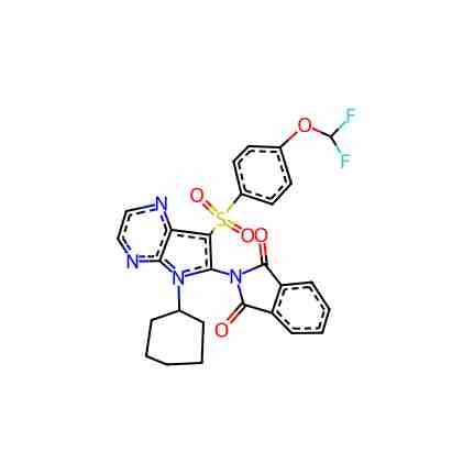 O=C1c2ccccc2C(=O)N1c1c(S(=O)(=O)c2ccc(OC(F)F)cc2)c2nccnc2n1C1CCCCC1